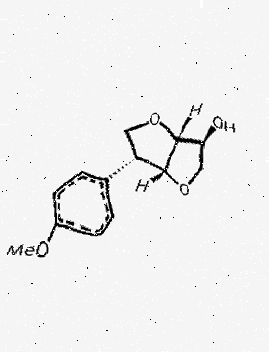 COc1ccc([C@@H]2CO[C@H]3[C@@H]2OC[C@@H]3O)cc1